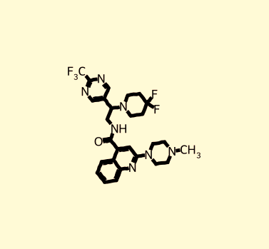 CN1CCN(c2cc(C(=O)NCC(c3cnc(C(F)(F)F)nc3)N3CCC(F)(F)CC3)c3ccccc3n2)CC1